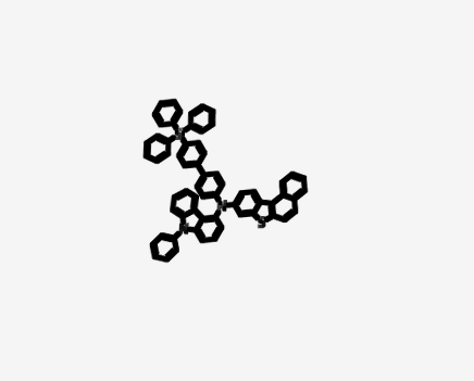 c1ccc(-n2c3ccccc3c3c(N(c4ccc(-c5ccc([Si](c6ccccc6)(c6ccccc6)c6ccccc6)cc5)cc4)c4ccc5c(c4)sc4ccc6ccccc6c45)cccc32)cc1